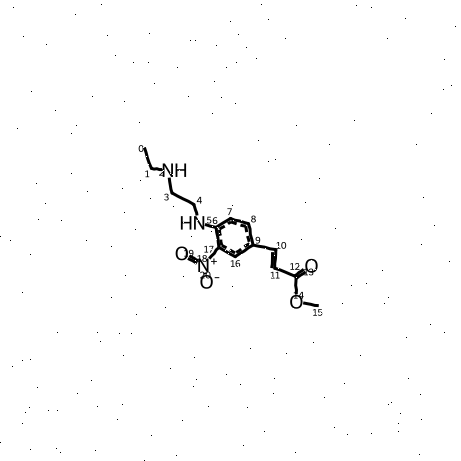 CCNCCNc1ccc(C=CC(=O)OC)cc1[N+](=O)[O-]